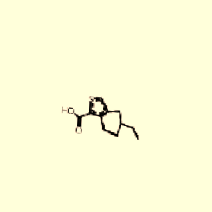 CCC1CCc2c(csc2C(=O)O)C1